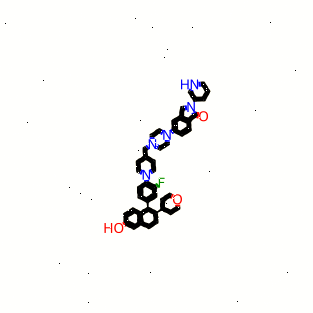 O=C1c2ccc(N3CCN(CC4CCN(c5ccc([C@@H]6c7ccc(O)cc7CC[C@@H]6C6CCOCC6)cc5F)CC4)CC3)cc2CN1[C@H]1CCCNC1